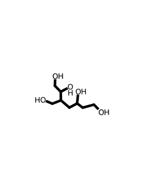 OCCC(O)CC(CO)C(O)CO